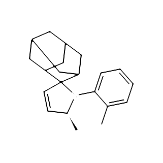 Cc1ccccc1N1[C@@H](C)C=CC12C1CC3CC(C1)CC2C3